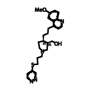 COc1ccc2nccc(CCC[C@@H]3CCN(CCCSc4ccnnc4)C[C@@H]3CO)c2c1